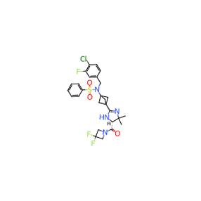 CC1(C)N=C(C23CC(N(Cc4ccc(Cl)c(F)c4)S(=O)(=O)c4ccccc4)(C2)C3)N[C@H]1C(=O)N1CC(F)(F)C1